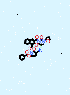 N#Cc1ccc(OC(=O)c2ccccc2)nc1OC(=O)c1cc(C(=O)n2c(=O)c(F)cn(C3CCCO3)c2=O)cc2ccccc12